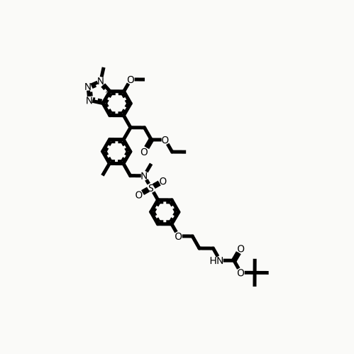 CCOC(=O)CC(c1ccc(C)c(CN(C)S(=O)(=O)c2ccc(OCCCNC(=O)OC(C)(C)C)cc2)c1)c1cc(OC)c2c(c1)nnn2C